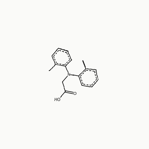 Cc1ccccc1N(CC(=O)O)c1ccccc1C